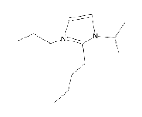 CCCCc1n(C(C)C)cc[n+]1CCC